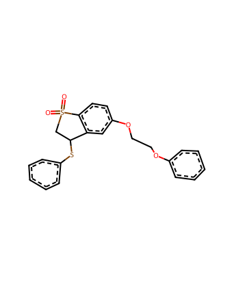 O=S1(=O)CC(Sc2ccccc2)c2cc(OCCOc3ccccc3)ccc21